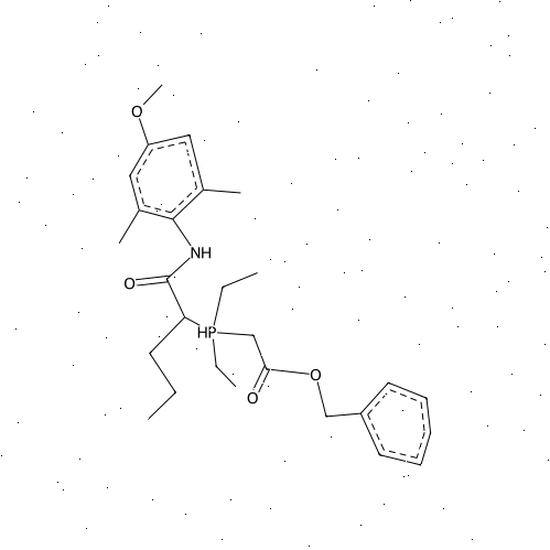 CCCC(C(=O)Nc1c(C)cc(OC)cc1C)[PH](CC)(CC)CC(=O)OCc1ccccc1